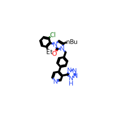 CCCCc1cn(-c2c(Cl)cccc2CC)c(=O)n1Cc1ccc(-c2ccncc2-c2nnn[nH]2)cc1